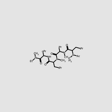 CCCC(NC(=O)C(CC(C)C)N(C)C(=O)C(C(C)C)N(C)C(=O)C(CC(C)C)N(C)C(C)=O)C(=O)N(C)CC